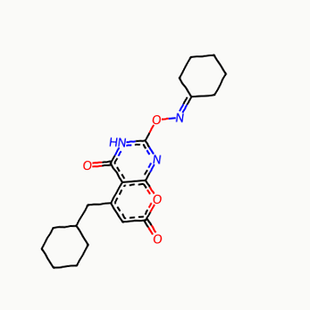 O=c1cc(CC2CCCCC2)c2c(=O)[nH]c(ON=C3CCCCC3)nc2o1